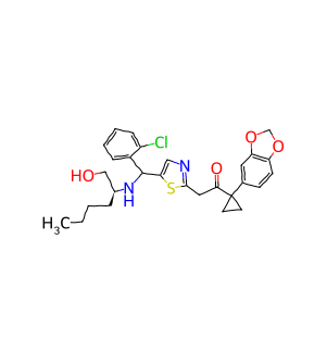 CCCC[C@@H](CO)NC(c1cnc(CC(=O)C2(c3ccc4c(c3)OCO4)CC2)s1)c1ccccc1Cl